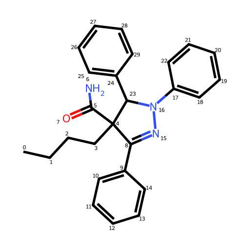 CCCCC1(C(N)=O)C(c2ccccc2)=NN(c2ccccc2)C1c1ccccc1